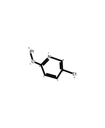 [CH2]Cc1ccc(OC(C)C)nc1